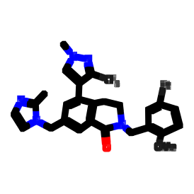 CCc1ccc(OC)c(CN2CCc3c(cc(Cn4ccnc4C)cc3-c3cn(C)nc3C(F)(F)F)C2=O)c1